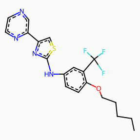 CCCCCOc1ccc(Nc2nc(-c3cnccn3)cs2)cc1C(F)(F)F